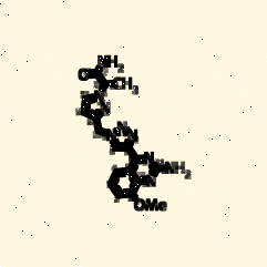 COc1cccc2c(-c3cn(Cc4ccn(C(C)C(N)=O)n4)nn3)nc(N)nc12